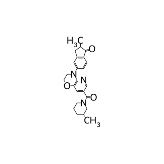 CC1Cc2cc(N3CCOc4cc(C(=O)N5CCC[C@@H](C)C5)cnc43)ccc2C1=O